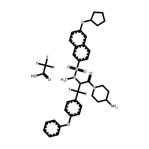 CN(C(C(=O)N1CCC(N)CC1)C(F)(F)c1ccc(Oc2ccccc2)cc1)S(=O)(=O)c1ccc2cc(OC3CCCC3)ccc2c1.O=C(O)C(F)(F)F